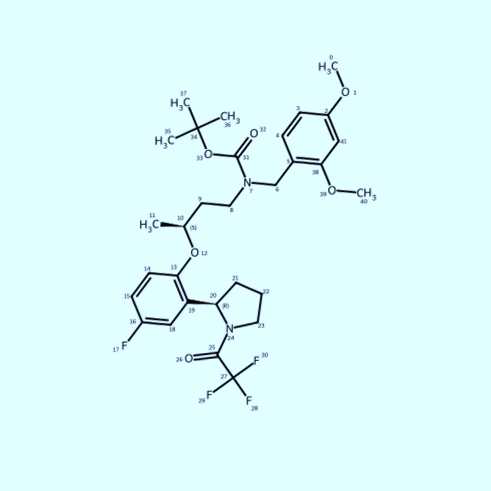 COc1ccc(CN(CC[C@H](C)Oc2ccc(F)cc2[C@H]2CCCN2C(=O)C(F)(F)F)C(=O)OC(C)(C)C)c(OC)c1